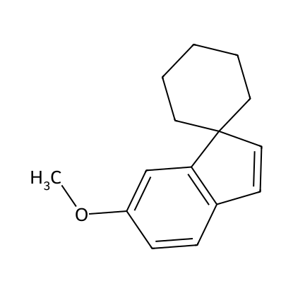 COc1ccc2c(c1)C1(C=C2)CCCCC1